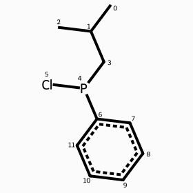 CC(C)CP(Cl)c1ccccc1